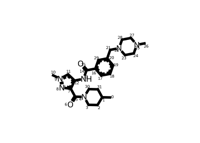 CC1CCN(C(=O)c2nn(C)cc2NC(=O)c2cccc(CN3CCN(C)CC3)c2)CC1